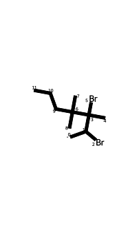 [CH2]C(Br)C(C)(Br)C(C)(C)CCC